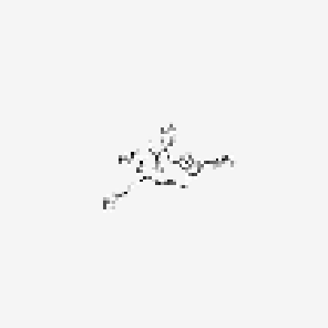 CCC(Br)(CC)C(=O)NC(N)=O.NCCCCCCCCCCN